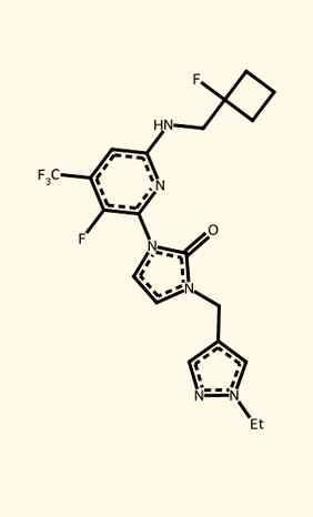 CCn1cc(Cn2ccn(-c3nc(NCC4(F)CCC4)cc(C(F)(F)F)c3F)c2=O)cn1